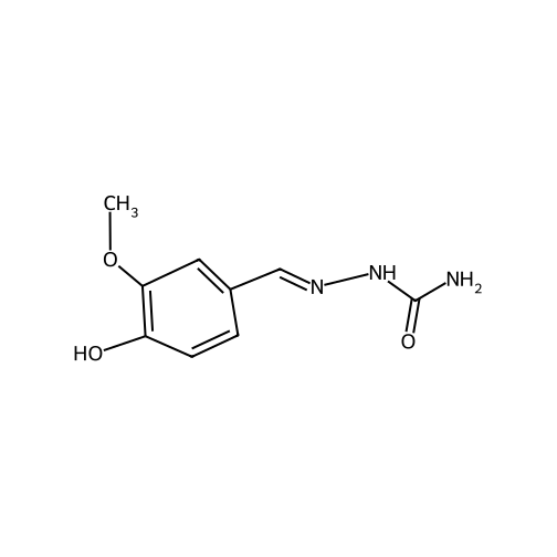 COc1cc(C=NNC(N)=O)ccc1O